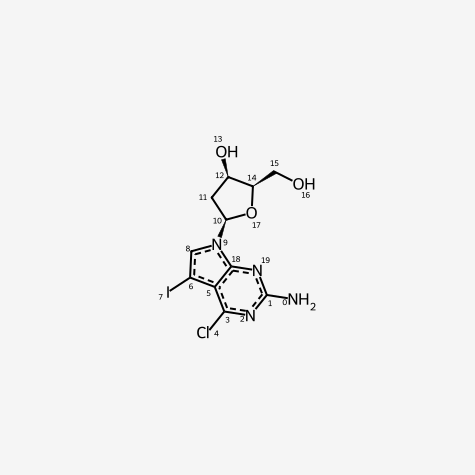 Nc1nc(Cl)c2c(I)cn([C@H]3C[C@@H](O)[C@@H](CO)O3)c2n1